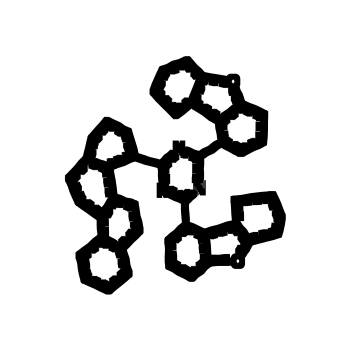 c1ccc2c(c1)ccc1c2ccc2cccc(-c3nc(-c4cccc5oc6ccccc6c45)nc(-c4cccc5oc6ccccc6c45)n3)c21